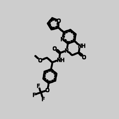 COCC(NC(=O)N1CC(=O)Nc2ccc(-c3ccco3)nc21)c1ccc(OC(F)(F)F)cc1